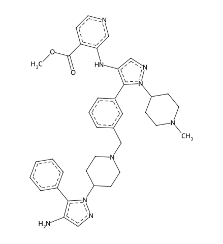 COC(=O)c1ccncc1Nc1cnn(C2CCN(C)CC2)c1-c1cccc(CN2CCC(n3ncc(N)c3-c3ccccc3)CC2)c1